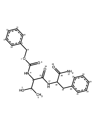 CC(O)C(NC(=O)OCc1ccccc1)C(=O)NC(Cc1ccccc1)C(N)=O